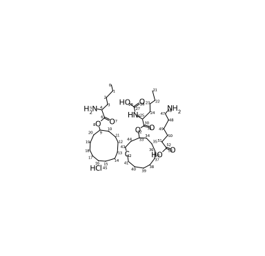 CCCCC(N)C(=O)OC1CCCCCCCCCCC1.CCCCC(NC(=O)O)C(=O)OC1CCCCCCCCCCC1.Cl.NCCCCCC(=O)O